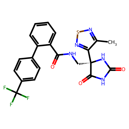 Cc1nsnc1[C@@]1(CNC(=O)c2ccccc2-c2ccc(C(F)(F)F)cc2)NC(=O)NC1=O